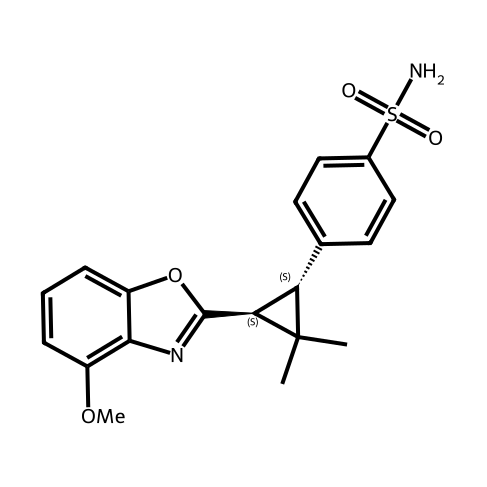 COc1cccc2oc([C@H]3[C@H](c4ccc(S(N)(=O)=O)cc4)C3(C)C)nc12